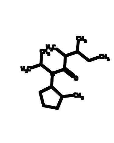 CCC(C)C(C)C(=O)N(C(C)C)C1CCCC1C